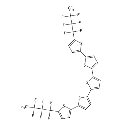 FC(F)(F)C(F)(F)C(F)(F)C(F)(F)c1ccc(-c2ccc(-c3ccc(-c4ccc(-c5ccc(C(F)(F)C(F)(F)C(F)(F)C(F)(F)F)s5)s4)s3)s2)s1